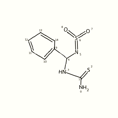 NC(=S)NC(N=S(=O)=O)c1ccccc1